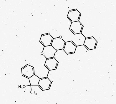 CC1(C)c2ccccc2-c2c(-c3ccc4c(c3)Oc3cccc5c3N4c3ccc(-c4ccccc4-c4ccc6ccccc6c4)cc3O5)cccc21